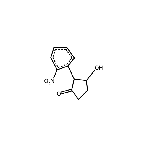 O=C1CCC(O)C1c1ccccc1[N+](=O)[O-]